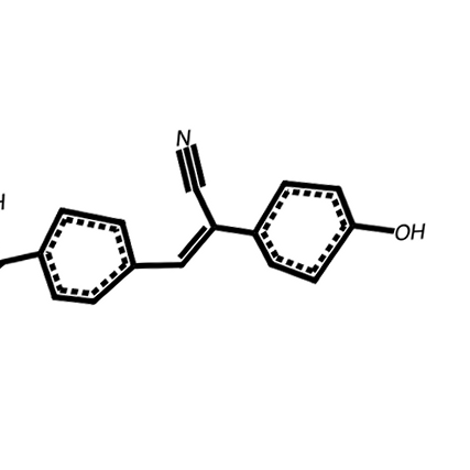 N#C/C(=C\c1ccc(C(=O)O)cc1)c1ccc(O)cc1